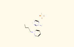 CCCCN1C=CC=CC1.Cn1ccnc1.O=P(O)(O)O